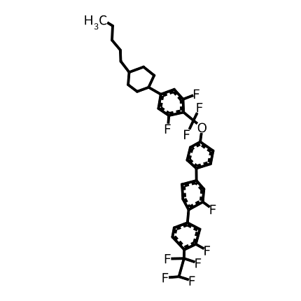 CCCCCC1CCC(c2cc(F)c(C(F)(F)Oc3ccc(-c4ccc(-c5ccc(C(F)(F)C(F)F)c(F)c5)c(F)c4)cc3)c(F)c2)CC1